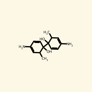 CC1C=C(N)C=CC1(O)C1(O)C=CC(N)=CC1C